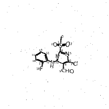 CS(=O)(=O)c1nc(Cl)c(C=O)c(Nc2ccccc2F)n1